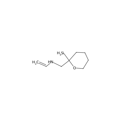 C=CNCC1([SiH3])CCCCO1